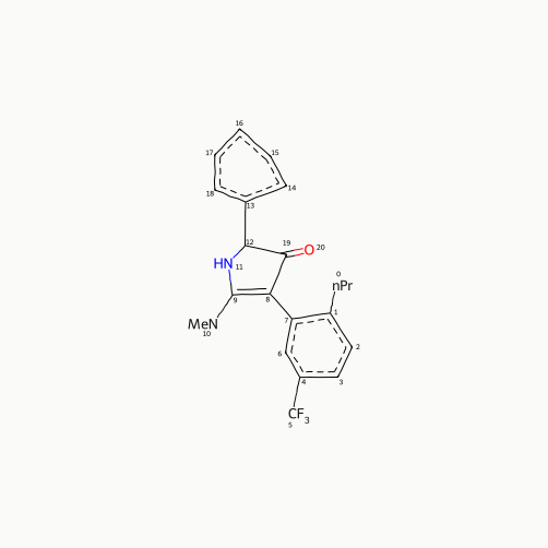 CCCc1ccc(C(F)(F)F)cc1C1=C(NC)NC(c2ccccc2)C1=O